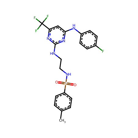 Cc1ccc(S(=O)(=O)NCCNc2nc(Nc3ccc(F)cc3)cc(C(F)(F)F)n2)cc1